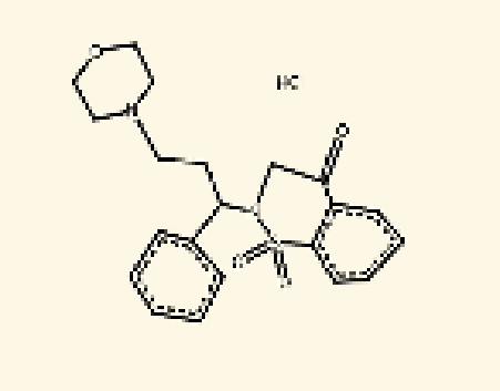 Cl.O=C1CN(C(CCN2CCOCC2)c2ccccc2)S(=O)(=O)c2ccccc21